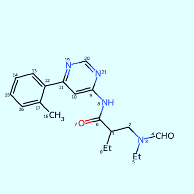 CCC(CN(C=O)CC)C(=O)Nc1cc(-c2ccccc2C)ncn1